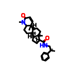 C[C@H](CNC(=O)C1CC[C@H]2[C@@H]3CCC4N(C)C(=O)C=C[C@]4(C)[C@@H]3CC[C@]12C)c1ccccc1